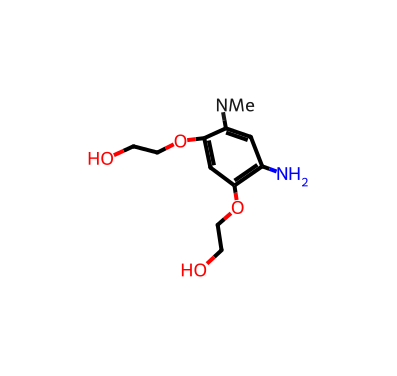 CNc1cc(N)c(OCCO)cc1OCCO